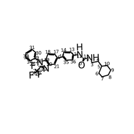 O=C(NCCC1CCCCC1)Nc1ccc(-c2ccc3c(c2)nc(C(F)(F)F)n3-c2ccccc2)cc1